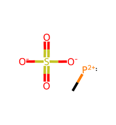 C[P+2].O=S(=O)([O-])[O-]